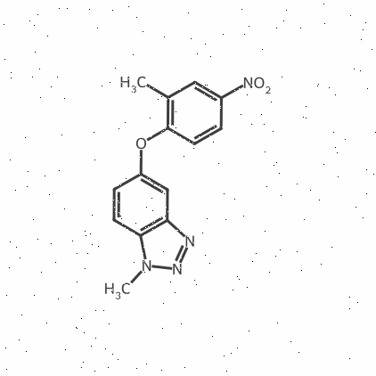 Cc1cc([N+](=O)[O-])ccc1Oc1ccc2c(c1)nnn2C